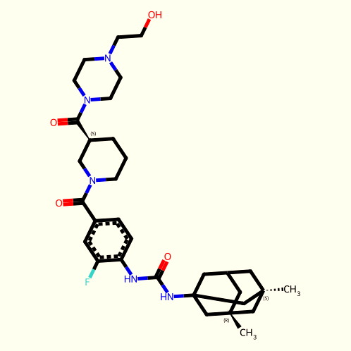 C[C@]12CC3CC(NC(=O)Nc4ccc(C(=O)N5CCC[C@H](C(=O)N6CCN(CCO)CC6)C5)cc4F)(C1)C[C@@](C)(C3)C2